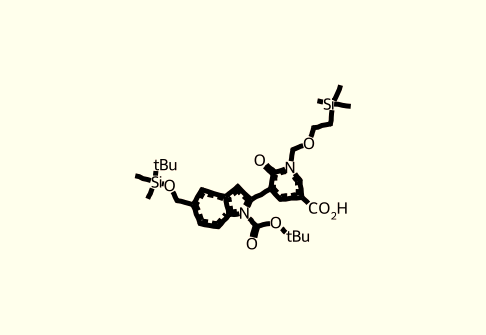 CC(C)(C)OC(=O)n1c(-c2cc(C(=O)O)cn(COCC[Si](C)(C)C)c2=O)cc2cc(CO[Si](C)(C)C(C)(C)C)ccc21